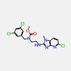 COC(=O)N(CCNc1nc2nc(Cl)ccc2n1C)Cc1cc(Cl)cc(Cl)c1